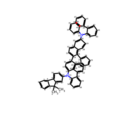 CC1(C)c2ccccc2-c2ccc(N(c3ccc4c(c3)c3ccccc3c3c5ccc(N(c6ccccc6)c6ccccc6-c6ccccc6)cc5ccc43)c3ccccc3-c3ccccc3)cc21